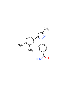 Cc1cc(-c2ccc(C)c(C)c2)n(-c2ccc(C(N)=O)cc2)n1